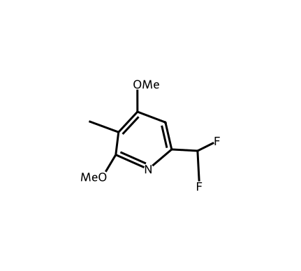 COc1cc(C(F)F)nc(OC)c1C